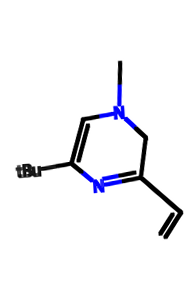 C=CC1=NC(C(C)(C)C)=CN(C)C1